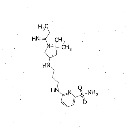 CCC(=N)N1CC(NCCCNc2cccc(S(N)(=O)=O)n2)CC1(C)C